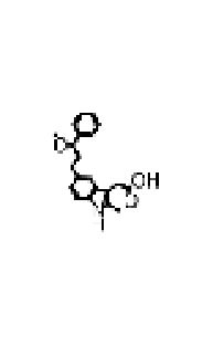 COC(CCc1ccc2[nH]c(C)c(CC(=O)O)c2c1)c1ccccc1